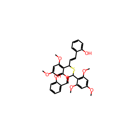 COc1cc(OC)c(C(C=Cc2ccccc2O)SC(C=Cc2ccccc2O)c2c(OC)cc(OC)cc2OC)c(OC)c1